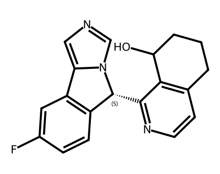 OC1CCCc2ccnc([C@@H]3c4ccc(F)cc4-c4cncn43)c21